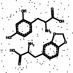 NC(Cc1ccc(O)cc1O)C(=O)O.NC(Cc1ccc2c(c1)OCO2)C(=O)O